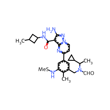 CSNc1cc(-c2ccn3nc(N)c(C(=O)NC4CC(C)C4)c3n2)cc(CN(C=O)C(C)C2CC2)c1C